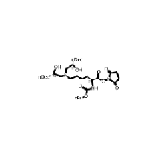 CCCCCCCCCC[C@H](O)CN(CCCC[C@H](NC(=O)OC(C)(C)C)C(=O)ON1C(=O)CCC1=O)C[C@@H](O)CCCCCCCCCC